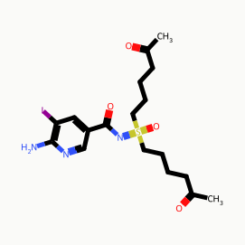 CC(=O)CCCCS(=O)(CCCCC(C)=O)=NC(=O)c1cnc(N)c(I)c1